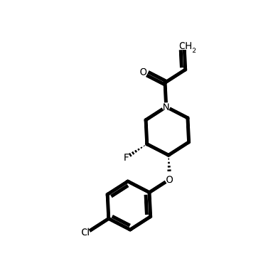 C=CC(=O)N1CC[C@H](Oc2ccc(Cl)cc2)[C@H](F)C1